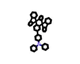 c1ccc(N(c2ccccc2)c2ccc(-c3ccc4c(c3)C3(c5ccccc5-c5ccccc53)c3ccccc3C43c4ccccc4-c4ccccc43)cc2)cc1